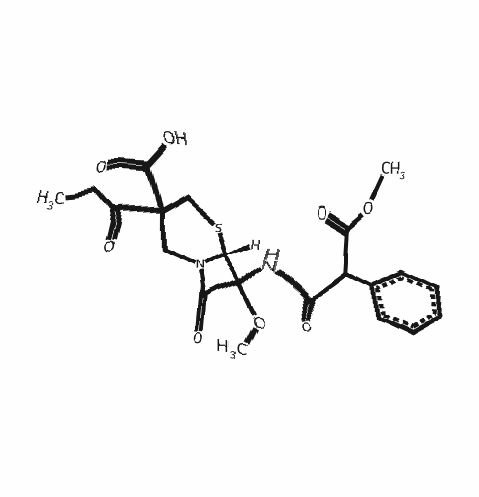 CCC(=O)C1(C(=O)O)CS[C@H]2N(C1)C(=O)C2(NC(=O)C(C(=O)OC)c1ccccc1)OC